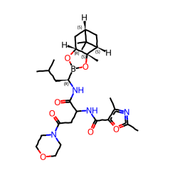 Cc1nc(C)c(C(=O)NC(CC(=O)N2CCOCC2)C(=O)N[C@@H](CC(C)C)B2O[C@@H]3C[C@@H]4C[C@@H](C4(C)C)[C@]3(C)O2)o1